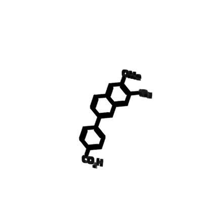 COc1cc2ccc(-c3ccc(C(=O)O)cc3)cc2cc1C(C)(C)C